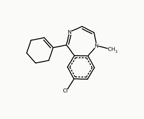 CN1C=CN=C(C2=CCCCC2)c2cc(Cl)ccc21